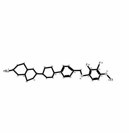 CCCCC1CCC2CC(C3CCC(c4ccc(COc5ccc(OCC)c(F)c5F)cc4)CC3)CCC2C1